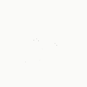 Cn1ccnc1CC=O